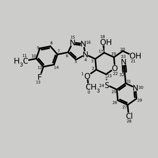 COC1C(n2cc(-c3ccc(C)c(F)c3)nn2)[C@@H](O)C(CO)O[C@@H]1Sc1cc(Cl)cnc1C#N